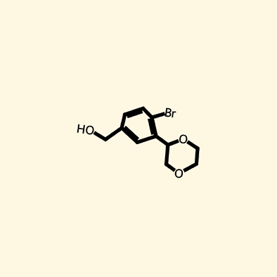 OCc1ccc(Br)c(C2COCCO2)c1